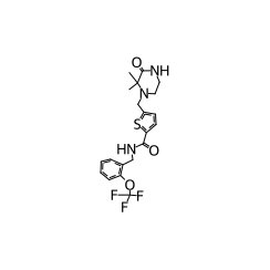 CC1(C)C(=O)NCCN1Cc1ccc(C(=O)NCc2ccccc2OC(F)(F)F)s1